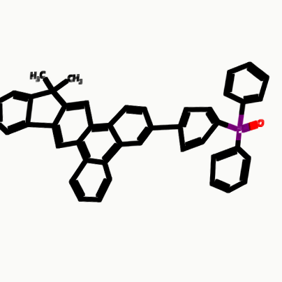 CC1(C)c2ccccc2-c2cc3c4ccccc4c4cc(-c5ccc(P(=O)(c6ccccc6)c6ccccc6)cc5)ccc4c3cc21